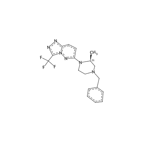 C[C@H]1CN(Cc2ccccc2)CCN1c1ccc2nnc(C(F)(F)F)n2n1